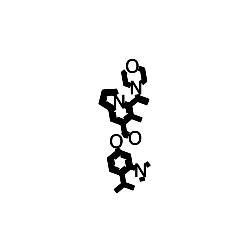 C=C(c1c(C)c(C(=O)Oc2ccc(C(C)C)c(N(C)C)c2)cc2cccn12)N1CCOCC1